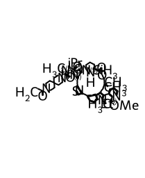 C=CC(=O)N1CCC2(CC1)CCN(C(=O)N(C)[C@H](C(=O)N[C@H]1Cc3nc(cs3)-c3ccc4c(c3)c(c(-c3cccnc3[C@H](C)OC)n4CC)CC(C)(C)COC(=O)[C@@]3([SiH3])CCCN(N3)C1=O)C(C)C)CC2